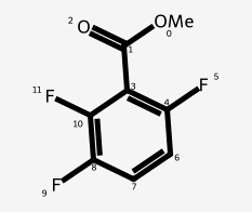 COC(=O)c1c(F)ccc(F)c1F